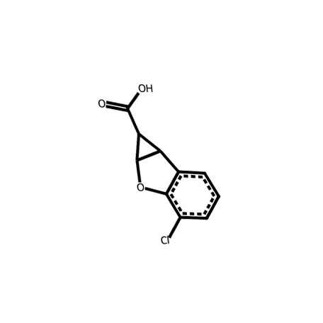 O=C(O)C1C2Oc3c(Cl)cccc3C21